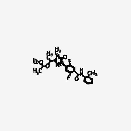 CCOC(C)OC(C)c1nn(-c2cc(F)c(C(=O)Nc3ccccc3C)cc2F)c(=O)n1C